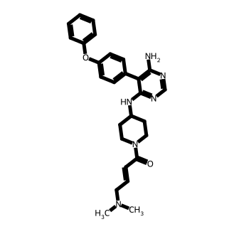 CN(C)C/C=C/C(=O)N1CCC(Nc2ncnc(N)c2-c2ccc(Oc3ccccc3)cc2)CC1